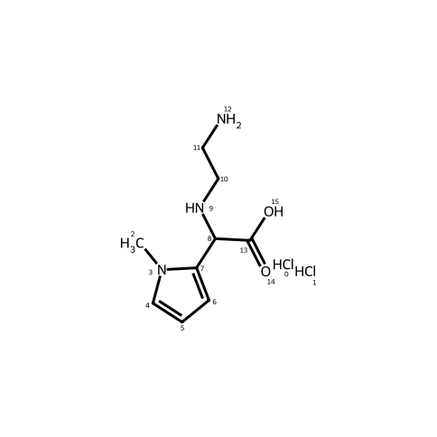 Cl.Cl.Cn1cccc1C(NCCN)C(=O)O